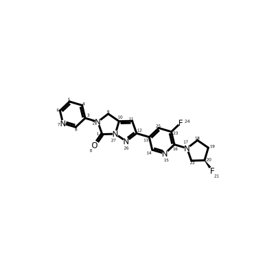 O=C1N(c2cccnc2)Cc2cc(-c3cnc(N4CC[C@@H](F)C4)c(F)c3)nn21